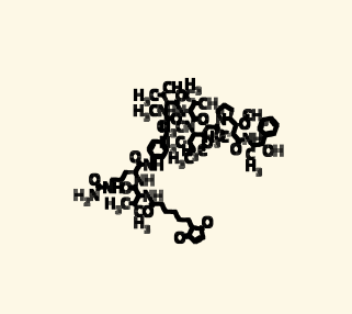 CC[C@H](C)[C@@H]([C@@H](CC(=O)N1CCC[C@H]1[C@H](OC)[C@@H](C)C(=O)N[C@H](C)[C@@H](O)c1ccccc1)OC)N(C)C(=O)[C@@H](NC(=O)[C@H](C(C)C)N(C)C(=O)OCc1ccc(NC(=O)[C@H](CCCNC(N)=O)NC(=O)C(NC(=O)CCCCCC2C(=O)C=CC2=O)C(C)C)cc1)C(C)C